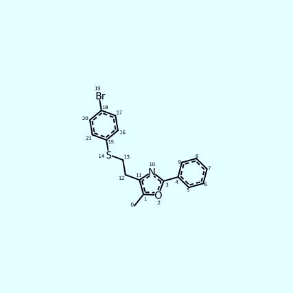 Cc1oc(-c2ccccc2)nc1CCSc1ccc(Br)cc1